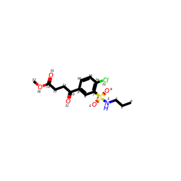 CCCNS(=O)(=O)c1cc(C(=O)CCC(=O)OC)ccc1Cl